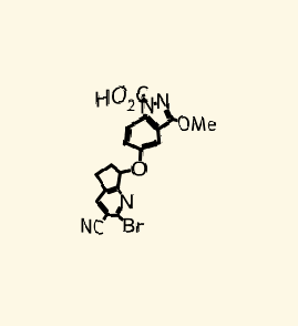 COc1nn(C(=O)O)c2ccc(OC3CCc4cc(C#N)c(Br)nc43)cc12